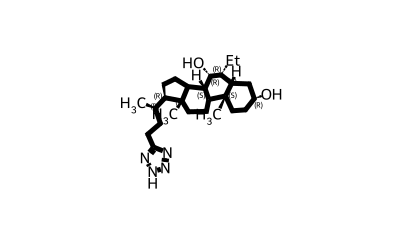 CC[C@H]1[C@@H](O)[C@H]2C3CC[C@H]([C@H](C)CCc4nn[nH]n4)[C@@]3(C)CCC2[C@@]2(C)CC[C@@H](O)C[C@@H]12